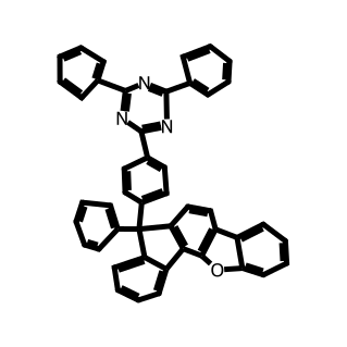 c1ccc(-c2nc(-c3ccccc3)nc(-c3ccc(C4(c5ccccc5)c5ccccc5-c5c4ccc4c5oc5ccccc54)cc3)n2)cc1